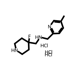 Cc1ccc(CNCC2(F)CCNCC2)nc1.Cl.Cl.Cl